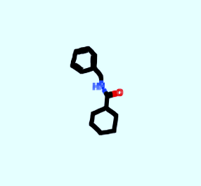 O=C(NCc1ccccc1)C1CCCCC1